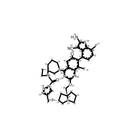 Cc1cn(C(=O)N2CC[C@@]23CCCN(c2nc(OC[C@@]45CCCN4C[C@H](F)C5)nc4c(F)c(-c5ccc(F)c6sc(N)c(C#N)c56)c(Cl)cc24)C3)nn1